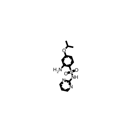 CC(C)Oc1ccc(S(=O)(=O)Nc2ncccn2)c(N)c1